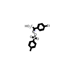 CCc1ccc(/C(=N\OS(=O)(=O)c2ccc(C)cc2)C(=O)O)cc1